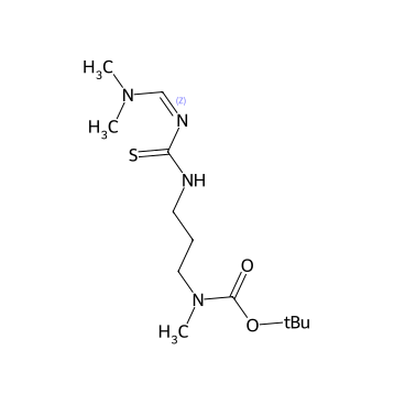 CN(C)/C=N\C(=S)NCCCN(C)C(=O)OC(C)(C)C